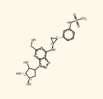 CCCSc1nc(N[C@H]2C[C@@H]2c2cccc(NS(C)(=O)=O)c2)c2nnn(C3C[C@@H](O)[C@H](O)C3O)c2n1